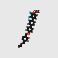 C=CCCC1CCC(COC2CCC(C3CCC(c4ccc(OCC)c(F)c4F)CC3)CC2)CC1